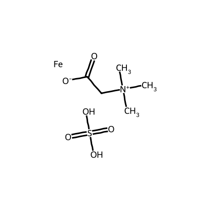 C[N+](C)(C)CC(=O)[O-].O=S(=O)(O)O.[Fe]